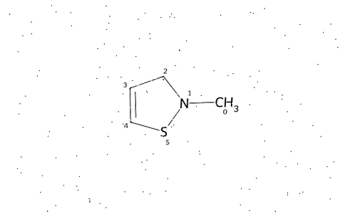 CN1[CH]C=CS1